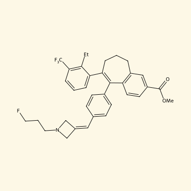 CCc1c(C2=C(c3ccc(C=C4CN(CCCF)C4)cc3)c3ccc(C(=O)OC)cc3CCC2)cccc1C(F)(F)F